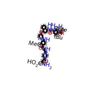 COc1cc(Nc2cc(Oc3ccc(NC(=O)Nc4cc(C(C)(C)C)cc(NS(C)(=O)=O)c4OC)c4ccccc34)ccn2)ccc1C(=O)NCCN1CCN(C(=O)C[C@@H](N)C(=O)O)CC1